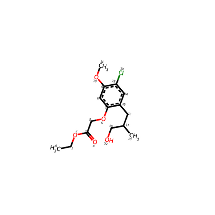 CCOC(=O)COc1cc(OC)c(Cl)cc1CC(C)CO